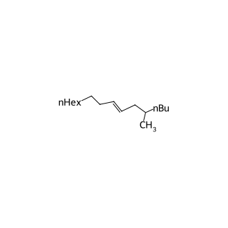 [CH2]CCCCCCCC=CCC(C)CCC[CH2]